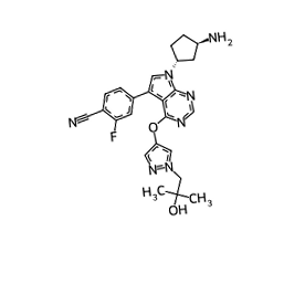 CC(C)(O)Cn1cc(Oc2ncnc3c2c(-c2ccc(C#N)c(F)c2)cn3[C@@H]2CC[C@@H](N)C2)cn1